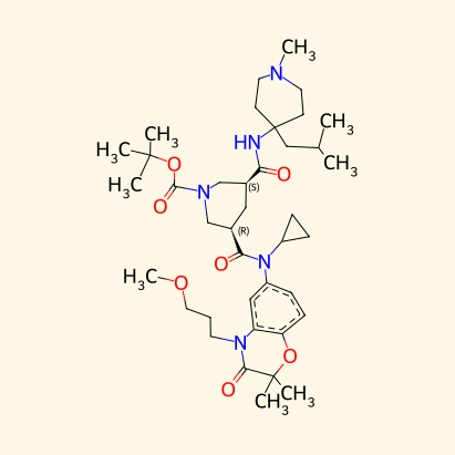 COCCCN1C(=O)C(C)(C)Oc2ccc(N(C(=O)[C@@H]3C[C@H](C(=O)NC4(CC(C)C)CCN(C)CC4)CN(C(=O)OC(C)(C)C)C3)C3CC3)cc21